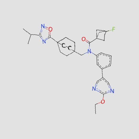 CCOc1ncc(-c2cccc(N(CC34CCC(c5nc(C(C)C)no5)(CC3)CC4)C(=O)C34CC(F)(C3)C4)c2)cn1